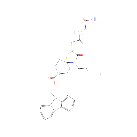 NC(=O)CNC(=O)CC1SC2(CCN(C(=O)OCC3c4ccccc4-c4ccccc43)CC2)N(CCC(=O)O)C1=O